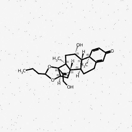 CCCC1O[C@@H]2C[C@H]3[C@@H]4CCC5=CC(=O)C=C[C@]5(C)[C@H]4[C@@H](O)C[C@]3(C)[C@@]2(C(=O)CO)O1